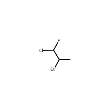 CC[C](C)C(Cl)CC